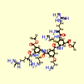 C=C(N)NCCC[C@@H](N)C(=O)Nc1cc(C(=O)OC(C)C)cc(NC(=O)c2cc(OCCN)cc(C(=O)Nc3cc(C(=O)OC(C)C)cc(NC(=O)[C@H](N)CCCNC(=N)N)c3SCCN)c2)c1SCCN